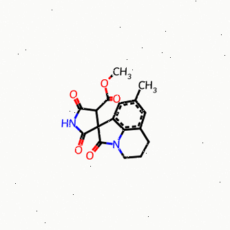 COC(=O)C1C(=O)NC(=O)C12C(=O)N1CCCc3cc(C)cc2c31